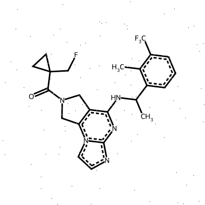 Cc1c(C(C)Nc2nc3nccn3c3c2CN(C(=O)C2(CF)CC2)C3)cccc1C(F)(F)F